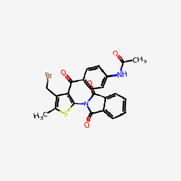 CC(=O)Nc1ccc(C(=O)c2c(N3C(=O)c4ccccc4C3=O)sc(C)c2CBr)cc1